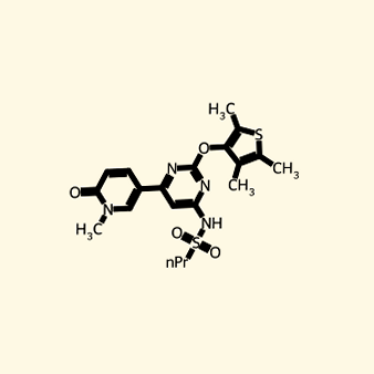 CCCS(=O)(=O)Nc1cc(-c2ccc(=O)n(C)c2)nc(Oc2c(C)sc(C)c2C)n1